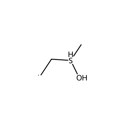 [CH2]C[SH](C)O